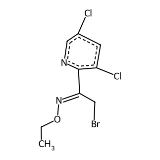 CCO/N=C(\CBr)c1ncc(Cl)cc1Cl